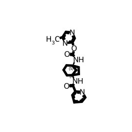 Cc1cncc(OC(=O)N[C@@]23CCC[C@@](NC(=O)c4ccccn4)(CC2)C3)n1